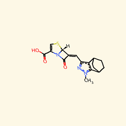 Cn1nc(C=C2C(=O)N3C(C(=O)O)=CS[C@H]23)c2c1C1CCC2CC1